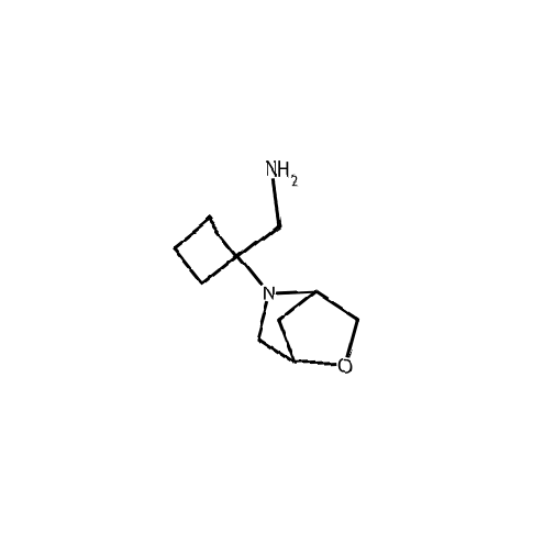 NCC1(N2CC3CC2CO3)CCC1